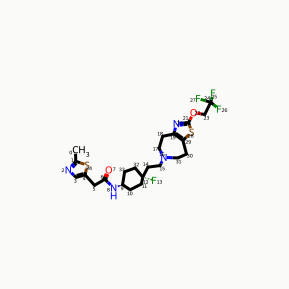 Cc1ncc(CC(=O)N[C@H]2CC[C@](F)(CCN3CCc4nc(OCC(F)(F)F)sc4CC3)CC2)s1